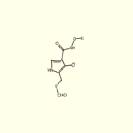 CCONC(=O)c1c[nH]c(COC=O)c1Cl